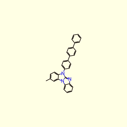 Cc1ccc2c(c1)n1c3ccccc3nc1n2-c1ccc(-c2ccc(-c3ccccc3)cc2)cc1